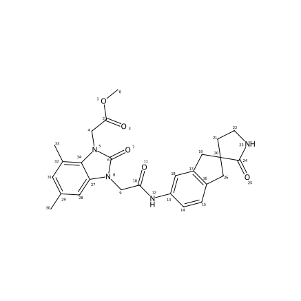 COC(=O)Cn1c(=O)n(CC(=O)Nc2ccc3c(c2)CC2(CCNC2=O)C3)c2cc(C)cc(C)c21